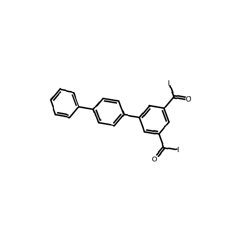 O=C(I)c1cc(C(=O)I)cc(-c2ccc(-c3ccccc3)cc2)c1